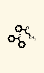 C=CCC(=O)c1ccccc1.O=C(c1ccccc1)c1ccccc1